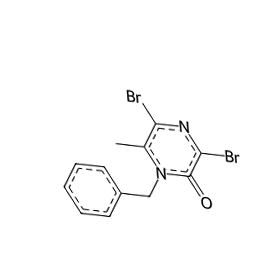 Cc1c(Br)nc(Br)c(=O)n1Cc1ccccc1